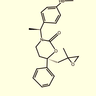 CBc1ccc([C@H](C)N2CC[C@](CC3(C)CO3)(c3ccccc3)OC2=O)cc1